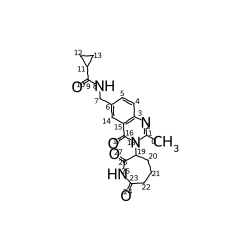 Cc1nc2ccc(CNC(=O)C3CC3)cc2c(=O)n1C1CCCC(=O)NC1=O